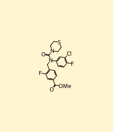 COC(=O)c1ccc(CN(C(=O)N2CCSCC2)c2ccc(F)c(Cl)c2)c(F)c1